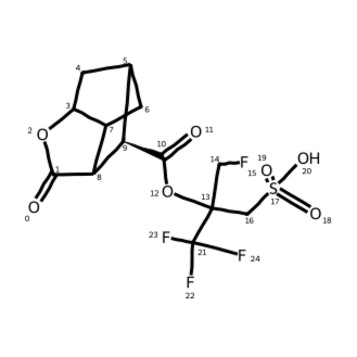 O=C1OC2CC3CC2C1[C@@H]3C(=O)OC(CF)(CS(=O)(=O)O)C(F)(F)F